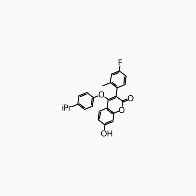 Cc1cc(F)ccc1-c1c(Oc2ccc(C(C)C)cc2)c2ccc(O)cc2oc1=O